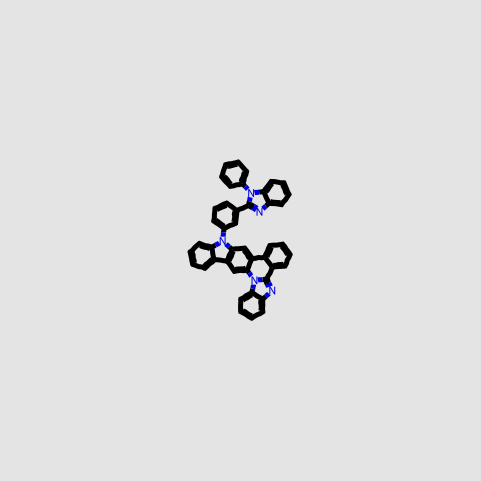 c1ccc(-n2c(-c3cccc(-n4c5ccccc5c5cc6c(cc54)c4ccccc4c4nc5ccccc5n64)c3)nc3ccccc32)cc1